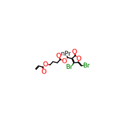 C=CC(=O)OCCCC(=O)OC(CCC)C1=C(Br)/C(=C/Br)OC1=O